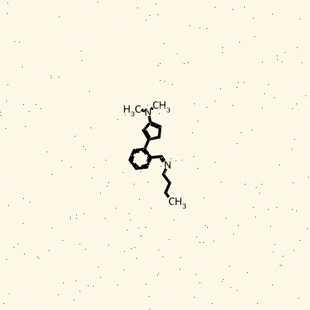 CCCC/N=C\c1ccccc1C1=CC(N(C)C)=CC1